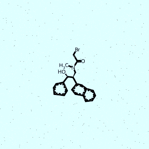 CN(C[C@@H](c1ccc2ccccc2c1)[C@H](O)c1ccccc1)C(=O)CBr